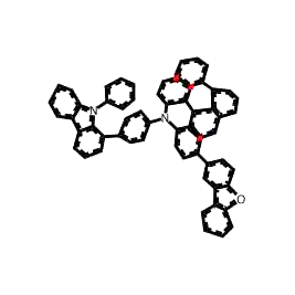 c1ccc(-c2cccc3cccc(-c4ccccc4N(c4ccc(-c5ccc6oc7ccccc7c6c5)cc4)c4ccc(-c5cccc6c7ccccc7n(-c7ccccc7)c56)cc4)c23)cc1